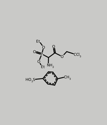 CCOP(=O)(OCC)C(N)C(=O)OCC(Cl)(Cl)Cl.Cc1ccc(S(=O)(=O)O)cc1